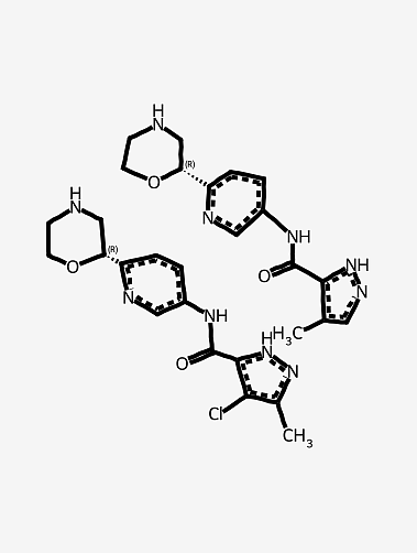 Cc1cn[nH]c1C(=O)Nc1ccc([C@H]2CNCCO2)nc1.Cc1n[nH]c(C(=O)Nc2ccc([C@H]3CNCCO3)nc2)c1Cl